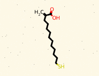 C=C(CCCCCCCCCCCS)C(=O)O